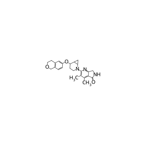 Cc1c(N2CCC(Oc3ccc4c(c3)CCOC4)C3CC32)nc2c(c1C)C(=O)NC2